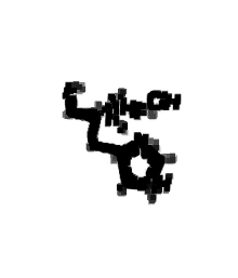 Cl.F.N[C@@H](CF)Cc1c[nH]cn1